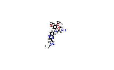 COc1cc(OC)cc(N(CC2CNCCO2)c2ccc3ncc(C4C=NN(C)C4)nc3c2)c1